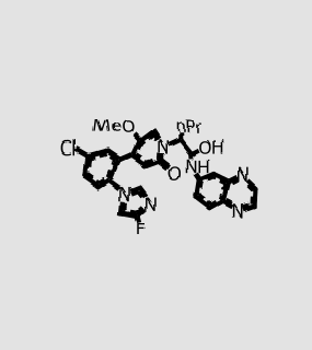 CCCC(C(O)Nc1ccc2nccnc2c1)n1cc(OC)c(-c2cc(Cl)ccc2-n2cnc(F)c2)cc1=O